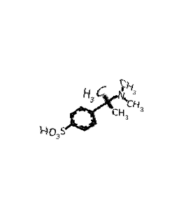 CN(C)C(C)(C)c1ccc(S(=O)(=O)O)cc1